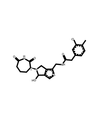 Cc1ccc(CC(=O)NCc2scc3c2CN([C@H]2CCCC(=O)NC2=O)C3O)cc1Cl